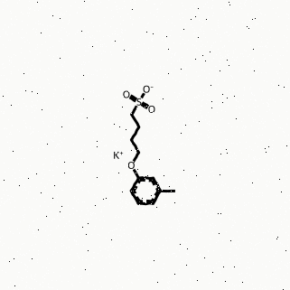 Cc1cccc(OCCCCS(=O)(=O)[O-])c1.[K+]